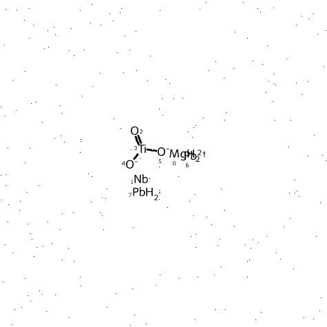 [MgH2].[Nb].[O]=[Ti]([O-])[O-].[Pb+2].[PbH2]